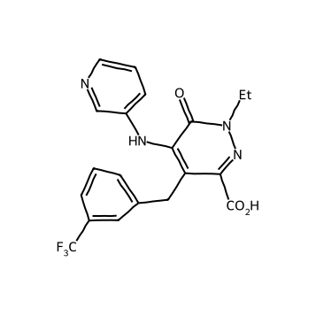 CCn1nc(C(=O)O)c(Cc2cccc(C(F)(F)F)c2)c(Nc2cccnc2)c1=O